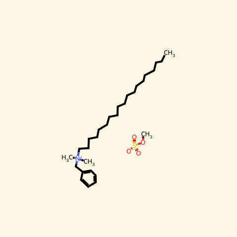 CCCCCCCCCCCCCCCCCCC[N+](C)(C)Cc1ccccc1.COS(=O)(=O)[O-]